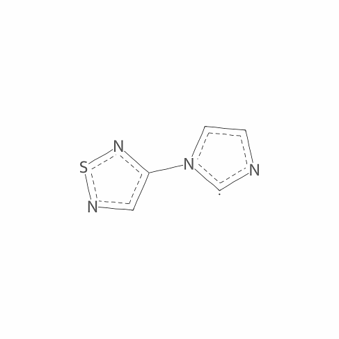 [c]1nccn1-c1cnsn1